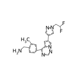 Cc1cc(-c2ncnn3cc(-c4cnn(CC(F)F)c4)cc23)ccc1CN